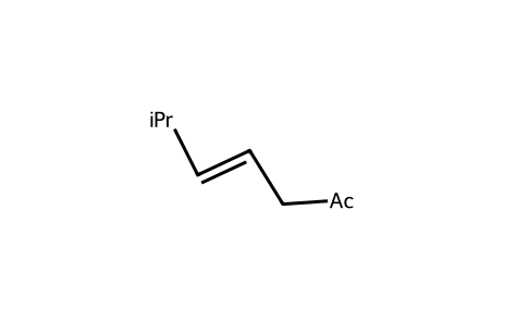 CC(=O)CC=CC(C)C